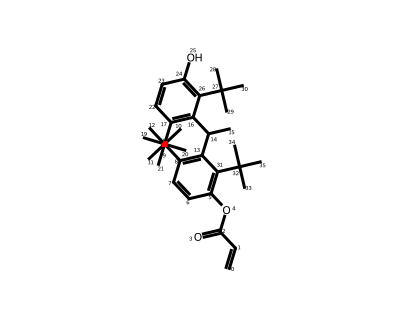 C=CC(=O)Oc1ccc(C(C)(C)C)c(C(C)c2c(C(C)(C)C)ccc(O)c2C(C)(C)C)c1C(C)(C)C